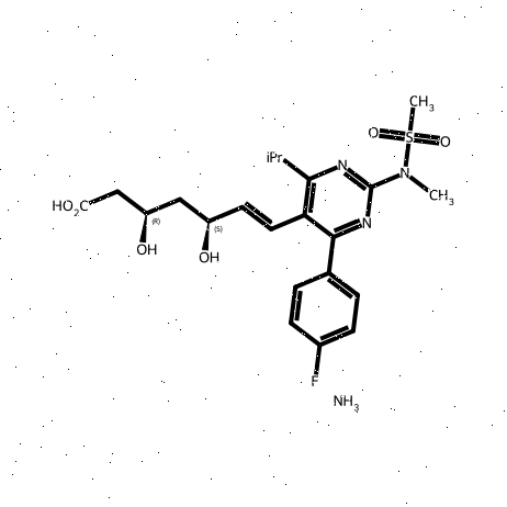 CC(C)c1nc(N(C)S(C)(=O)=O)nc(-c2ccc(F)cc2)c1C=C[C@@H](O)C[C@@H](O)CC(=O)O.N